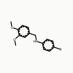 COc1ccc(CNc2ccc(Br)cc2)cc1OC